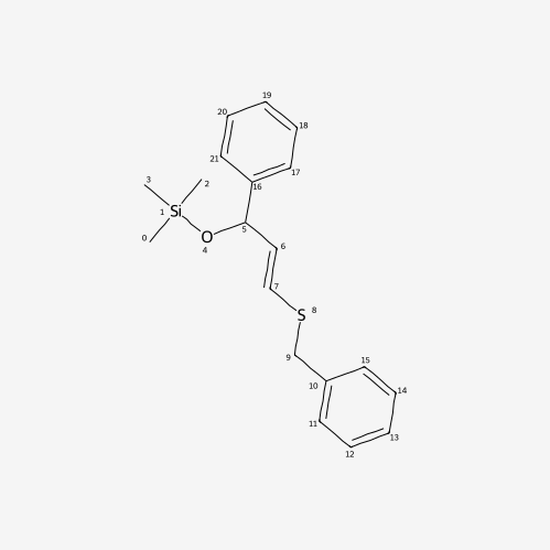 C[Si](C)(C)OC(/C=C/SCc1ccccc1)c1ccccc1